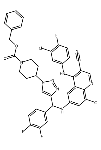 N#Cc1cnc2c(Cl)cc(NC(c3ccc(F)c(F)c3)c3cn(C4CCN(C(=O)OCc5ccccc5)CC4)nn3)cc2c1Nc1ccc(F)c(Cl)c1